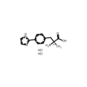 C[C@@](N)(Cc1ccc(-c2ncc[nH]2)cc1)C(=O)O.Cl.Cl